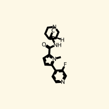 Cn1c(C(=O)N[C@H]2CN3CCC2CC3)ccc1-c1ccncc1F